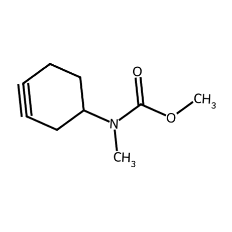 COC(=O)N(C)C1CC#CCC1